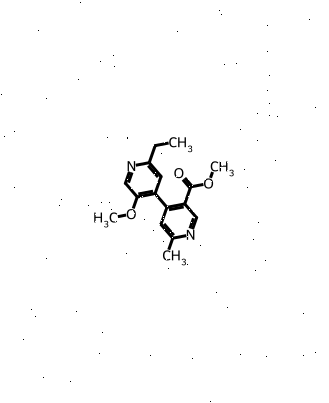 CCc1cc(-c2cc(C)ncc2C(=O)OC)c(OC)cn1